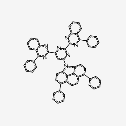 c1ccc(-c2nc(-c3cc(-n4c5ccc(-c6ccccc6)c6ccc7c(-c8ccccc8)ccc4c7c65)nc(-c4nc(-c5ccccc5)c5ccccc5n4)n3)nc3ccccc23)cc1